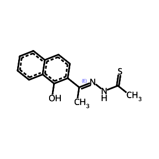 CC(=S)N/N=C(\C)c1ccc2ccccc2c1O